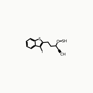 C#CC(CCc1sc2ccccc2c1I)OS